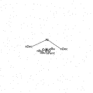 CCCCCC1=C(c2cccc(CCCC)c2)[N+](=[N-])C(c2cccc(CCCC)c2)=C1CCCC.CCCCCCCCCCCCCCCCCCCCCCCCC[CH2][Ni][CH2]CCCCCCCCCCCCCCCCCCCCCCCCC